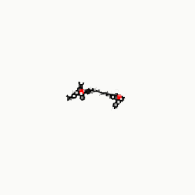 CCN(CC)c1ccc2c(-c3ccccc3C(=O)N3CCN(C(=O)CCSSCCC(=O)Nc4ccc(-c5c6ccc(=O)cc-6oc6cc(O)ccc56)c(C(F)(F)F)c4)CC3)c3ccc(=[N+](CC)CC)cc-3oc2c1